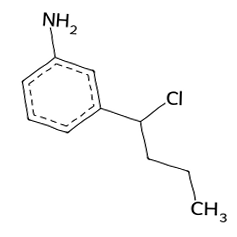 CCCC(Cl)c1cccc(N)c1